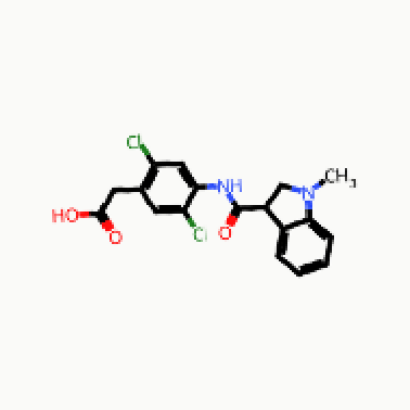 CN1CC(C(=O)Nc2cc(Cl)c(CC(=O)O)cc2Cl)c2ccccc21